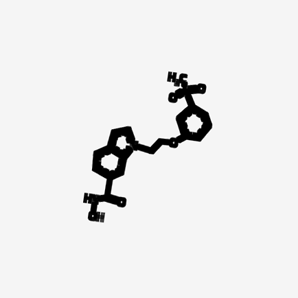 CS(=O)(=O)c1cccc(OCCn2ccc3ccc(C(=O)NO)cc32)c1